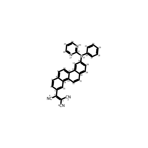 N#CC(C#N)=C(C#N)c1ccc2ccc3c4cc(N(c5ccccc5)c5ncccn5)ccc4ccc3c2c1